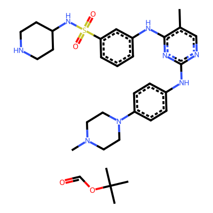 CC(C)(C)OC=O.Cc1cnc(Nc2ccc(N3CCN(C)CC3)cc2)nc1Nc1cccc(S(=O)(=O)NC2CCNCC2)c1